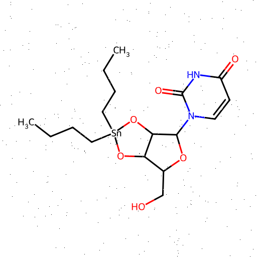 CCC[CH2][Sn]1([CH2]CCC)[O]C2C(CO)OC(n3ccc(=O)[nH]c3=O)C2[O]1